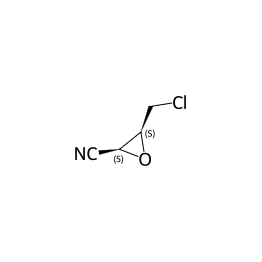 N#C[C@@H]1O[C@@H]1CCl